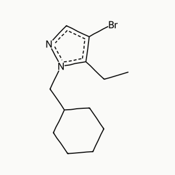 CCc1c(Br)cnn1CC1CCCCC1